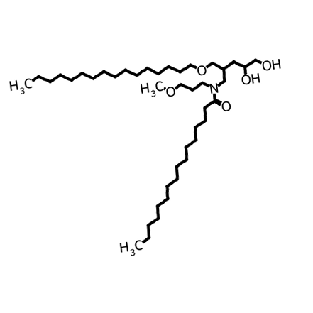 CCCCCCCCCCCCCCCCOCC(CC(O)CO)CN(CCCOC)C(=O)CCCCCCCCCCCCCCC